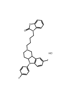 Cl.O=c1oc2ccccc2n1CCCCN1CCC2C(C1)c1cc(F)ccc1N2c1ccc(F)cc1